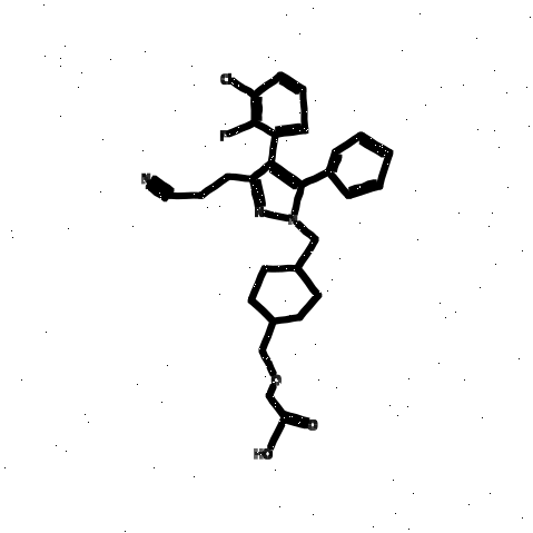 N#CCCc1nn(CC2CCC(COCC(=O)O)CC2)c(-c2ccccc2)c1-c1cccc(Cl)c1F